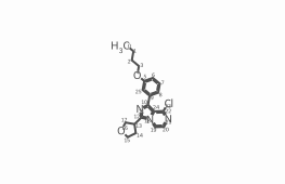 CCCCOc1cccc(-c2nc(C3CCOC3)n3ccnc(Cl)c23)c1